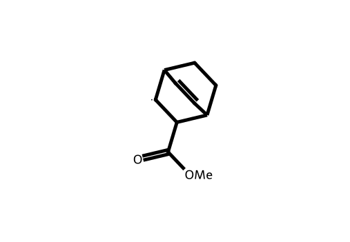 COC(=O)C1[CH]C2C=CC1CC2